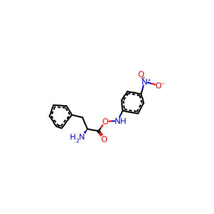 N[C@@H](Cc1ccccc1)C(=O)ONc1ccc([N+](=O)[O-])cc1